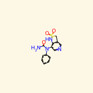 NC(=O)N(c1ccccc1)c1cncc2c1NS(=O)(=O)C2